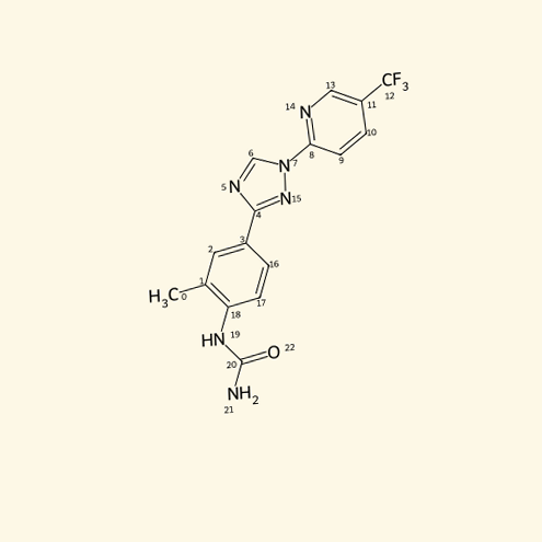 Cc1cc(-c2ncn(-c3ccc(C(F)(F)F)cn3)n2)ccc1NC(N)=O